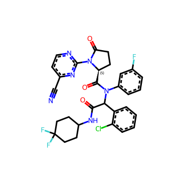 N#Cc1ccnc(N2C(=O)CC[C@H]2C(=O)N(c2cccc(F)c2)C(C(=O)NC2CCC(F)(F)CC2)c2ccccc2Cl)n1